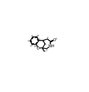 CC12CNC(=O)CC(C1)c1ccccc1O2